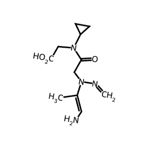 C=NN(CC(=O)N(CC(=O)O)C1CC1)/C(C)=C/N